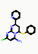 NC1=CC(Cl)=NC2=NC(c3ccccn3)CC(Sc3ccccc3)N12